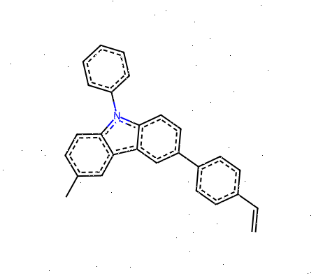 C=Cc1ccc(-c2ccc3c(c2)c2cc(C)ccc2n3-c2ccccc2)cc1